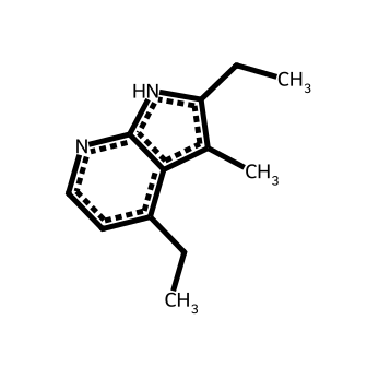 CCc1[nH]c2nccc(CC)c2c1C